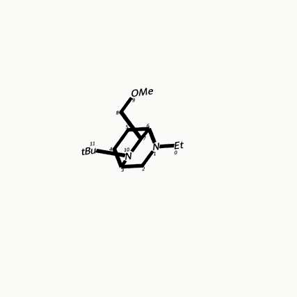 CCN1CC2CCC1C(COC)N2C(C)(C)C